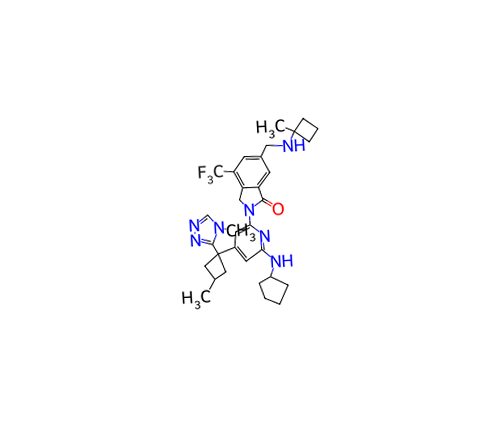 CC1CC(c2cc(NC3CCCC3)nc(N3Cc4c(cc(CNC5(C)CCC5)cc4C(F)(F)F)C3=O)c2)(c2nncn2C)C1